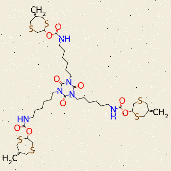 C=C1CSCC(OC(=O)NCCCCCCn2c(=O)n(CCCCCCNC(=O)OC3CSCC(=C)CS3)c(=O)n(CCCCCCNC(=O)OC3CSCC(=C)CS3)c2=O)SC1